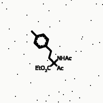 CCOC(=O)C(CCc1ccc(C)cc1)(NC(C)=O)C(C)=O